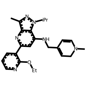 CCOc1ncccc1-c1cc(NCC2=CCN(C)C=C2)c2c(n1)c(C)nn2C(C)C